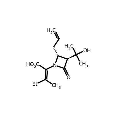 C=CC[C@@H]1[C@@H](C(C)(C)O)C(=O)N1C(C(=O)O)=C(C)CC